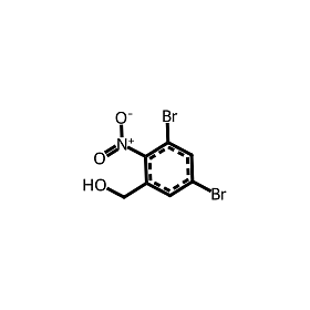 O=[N+]([O-])c1c(Br)cc(Br)cc1CO